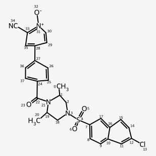 CC1CN(S(=O)(=O)c2ccc3cc(Cl)ccc3c2)CC(C)N1C(=O)c1ccc(-c2cc[n+]([O-])c(C#N)c2)cc1